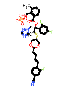 Cc1cccc(C(=O)O[C@@](Cn2cncn2)(c2ccc(F)cc2F)[C@@H](C)S[C@H]2CO[C@H](/C=C/C=C/c3ccc(C#N)cc3F)OC2)c1COP(=O)(O)O